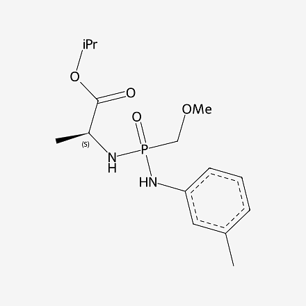 COCP(=O)(Nc1cccc(C)c1)N[C@@H](C)C(=O)OC(C)C